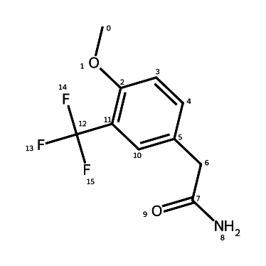 COc1ccc(CC(N)=O)cc1C(F)(F)F